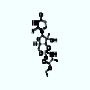 CCOC(=O)[C@H](C)NP1(=O)OC[C@H]2O[C@@H](n3ccc(=O)[nH]c3=S)C(C)(O)C2O1